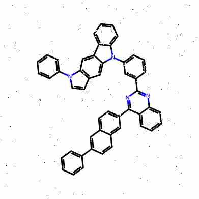 c1ccc(-c2ccc3cc(-c4nc(-c5cccc(-n6c7ccccc7c7cc8c(ccn8-c8ccccc8)cc76)c5)nc5ccccc45)ccc3c2)cc1